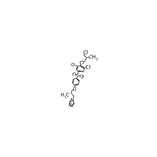 C[C@H](CCl)COc1c(Cl)cc(S(=O)(=O)c2ccc(OC[C@@H](C)Cn3ccnc3)cc2)cc1Cl